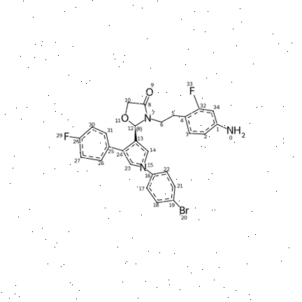 Nc1ccc(CCN2C(=O)CO[C@@H]2c2cn(-c3ccc(Br)cc3)cc2-c2ccc(F)cc2)c(F)c1